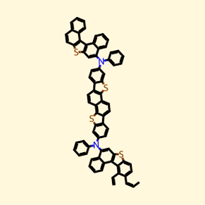 C=Cc1c(/C=C\C)ccc2sc3cc(N(c4ccccc4)c4ccc5c(c4)sc4c5ccc5c4ccc4c6ccc(N(c7ccccc7)c7cc8sc9ccc%10ccccc%10c9c8c8ccccc78)cc6sc45)c4ccccc4c3c12